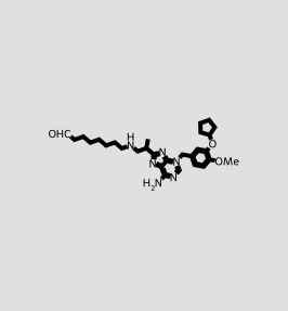 COc1ccc(Cn2cnc(N)c3nc(C(C)CNCCCCCCCC=O)nc2-3)cc1OC1CCCC1